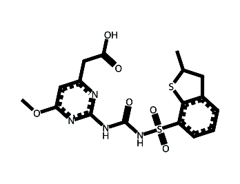 COc1cc(CC(=O)O)nc(NC(=O)NS(=O)(=O)c2cccc3c2SC(C)C3)n1